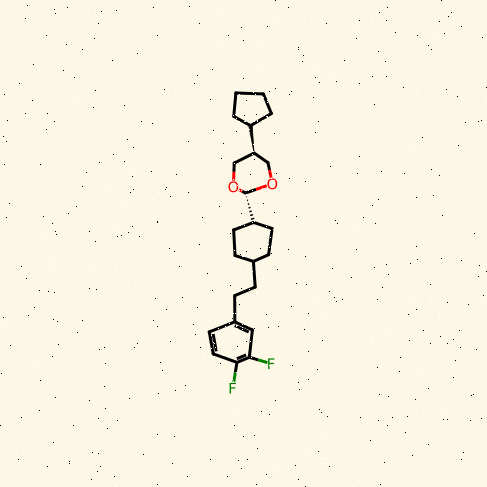 Fc1ccc(CCC2CCC([C@H]3OC[C@H](C4CCCC4)CO3)CC2)cc1F